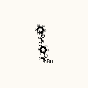 CCCCC(C)Oc1ccc(OCCOc2ccccn2)cc1